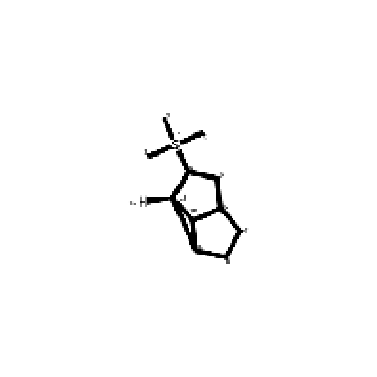 CS(C)(C)C1CC2CCC3C2[C@H]31